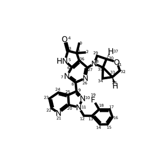 CC1(C)C(=O)Nc2nc(-c3nn(Cc4ccccc4F)c4ncccc34)nc(N3C[C@H]4OC[C@@H]5CC543)c21